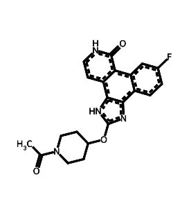 CC(=O)N1CCC(Oc2nc3c4ccc(F)cc4c4c(=O)[nH]ccc4c3[nH]2)CC1